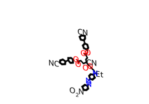 CCN(CCOC(=O)C(C#N)(CCC(=O)Oc1ccc(-c2ccc(C#N)cc2)cc1)CCC(=O)Oc1ccc(-c2ccc(C#N)cc2)cc1)c1ccc(/N=N/c2ccc([N+](=O)[O-])cc2)cc1